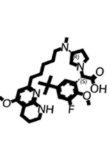 COc1cc(CCCCCN(C)[C@@H]2CCN([C@H](C(=O)O)c3cc(C(C)(C)C)cc(F)c3OC)C2)nc2c1CCCN2